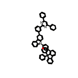 C1=CC(c2cc(-c3ccccc3)nc(-c3cccc(C4C=Cc5c(c6ccccc6n5-c5ccc(-c6cccc7c6C(c6ccccc6)(c6ccccc6)c6ccccc6-7)cc5)C4)c3)n2)=CCC1